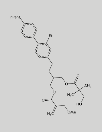 C=C(COC)C(=O)OCC(CCc1ccc(-c2ccc(CCCCC)cc2)c(CC)c1)COC(=O)C(C)(C)CO